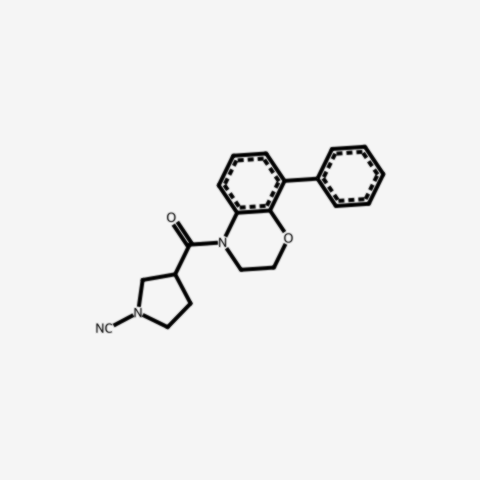 N#CN1CCC(C(=O)N2CCOc3c(-c4ccccc4)cccc32)C1